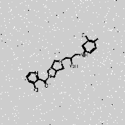 Cc1ccc(NCC(O)CN2CC3CN(C(=O)c4ncccc4Cl)CC3C2)cc1Cl